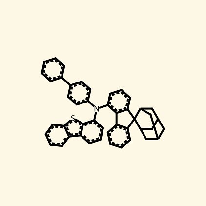 c1ccc(-c2ccc(N(c3cccc4c3-c3ccccc3C43C4CC5CC(C4)CC3C5)c3cccc4c3sc3ccccc34)cc2)cc1